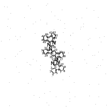 c1ccc2c(c1)c1ccccc1c1nc(-n3c4ccccc4c4cc5c(cc43)c3ccccc3n5-c3cnc4c5ccccc5c5ccccc5c4n3)cnc21